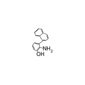 Nc1c(O)cccc1-c1cccc2ccccc12